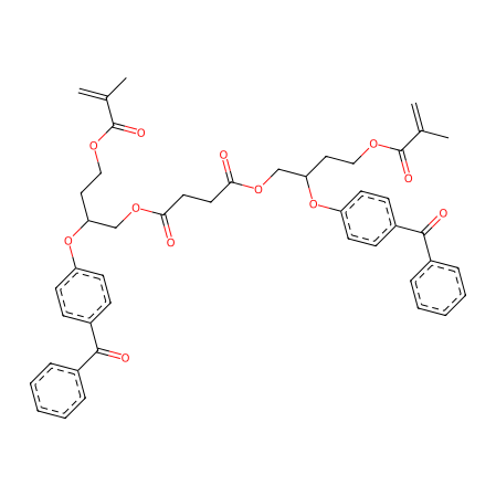 C=C(C)C(=O)OCCC(COC(=O)CCC(=O)OCC(CCOC(=O)C(=C)C)Oc1ccc(C(=O)c2ccccc2)cc1)Oc1ccc(C(=O)c2ccccc2)cc1